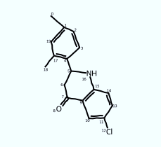 Cc1ccc(C2CC(=O)c3cc(Cl)ccc3N2)c(C)c1